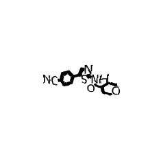 N#Cc1ccc(-c2cnc(NC(=O)C3CCOCC3)s2)cc1